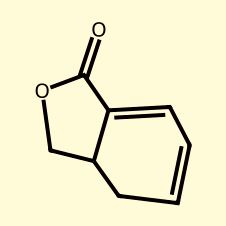 O=C1OCC2CC=CC=C12